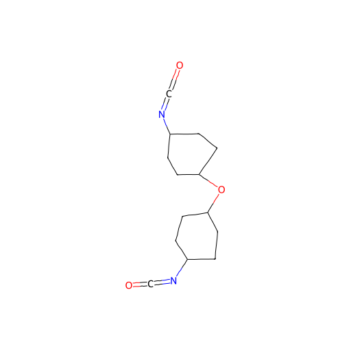 O=C=NC1CCC(OC2CCC(N=C=O)CC2)CC1